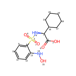 O=C(O)[C@@H](NS(=O)(=O)c1ccccc1NO)C1CCCCC1